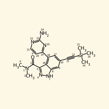 CN(C)C(=O)c1n[nH]c2cc(C#C[Si](C)(C)C)cc(-c3ccnc(N)n3)c12